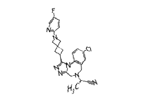 CC(C#N)N1Cc2cc(Cl)ccc2-n2c(nnc2C2CC3(C2)CN(c2ccc(F)cn2)C3)C1